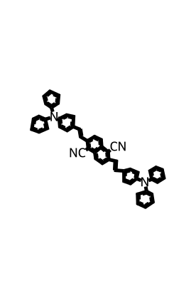 N#Cc1c(/C=C/c2ccc(N(c3ccccc3)c3ccccc3)cc2)ccc2c(C#N)c(/C=C/c3ccc(N(c4ccccc4)c4ccccc4)cc3)ccc12